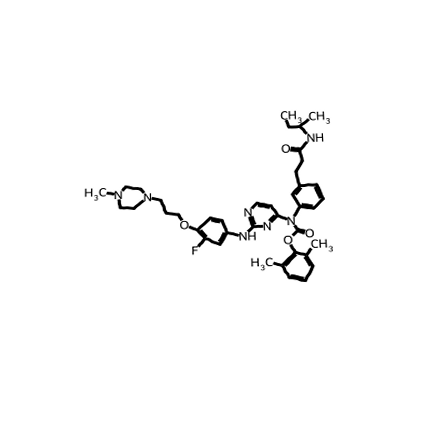 CCC(C)NC(=O)CCc1cccc(N(C(=O)Oc2c(C)cccc2C)c2ccnc(Nc3ccc(OCCCN4CCN(C)CC4)c(F)c3)n2)c1